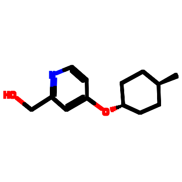 C[C@H]1CC[C@H](Oc2ccnc(CO)c2)CC1